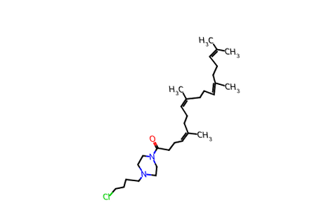 CC(C)=CCCC(C)=CCCC(C)=CCCC(C)=CCCC(=O)N1CCN(CCCCCl)CC1